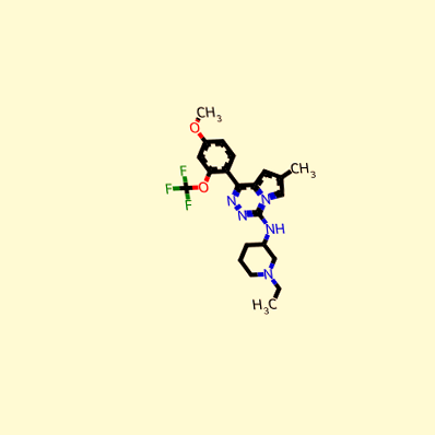 CCN1CCCC(Nc2nnc(-c3ccc(OC)cc3OC(F)(F)F)c3cc(C)cn23)C1